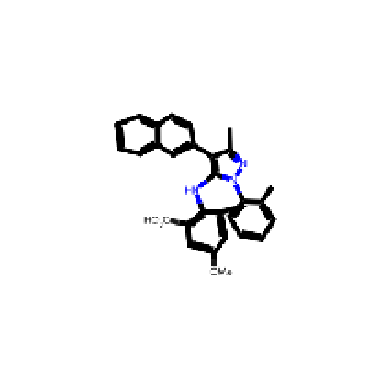 COc1cc(C)c(Nc2c(-c3ccc4ccccc4c3)c(C)nn2-c2ccccc2C)c(C(=O)O)c1